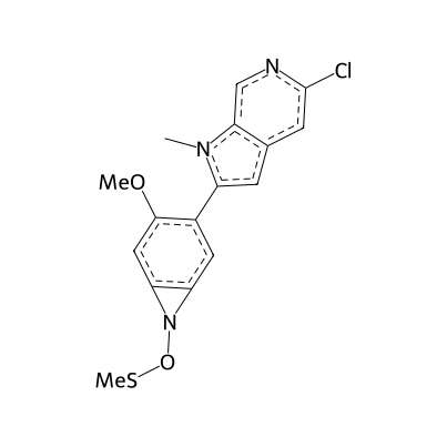 COc1cc2c(cc1-c1cc3cc(Cl)ncc3n1C)N2OSC